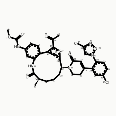 COC(=O)Nc1ccc2c(c1)NC(=O)[C@H](C)CCC[C@H](N1CCC(c3cc(Cl)ccc3-n3cc(Cl)nn3)=CC1=O)c1cc-2c(C(C)=O)s1